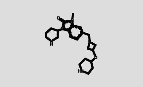 Cn1c(=O)n(C2CCCNC2)c2ccc(CN3CC(OC4CCNCC4)C3)cc21